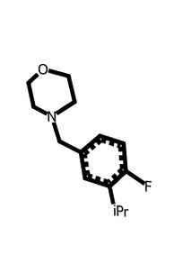 CC(C)c1cc(CN2CCOCC2)ccc1F